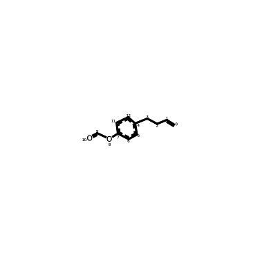 C=CCCc1ccc(OC=O)cc1